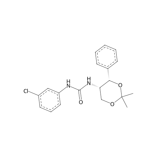 CC1(C)OC[C@H](NC(=O)Nc2cccc(Cl)c2)[C@H](c2ccccc2)O1